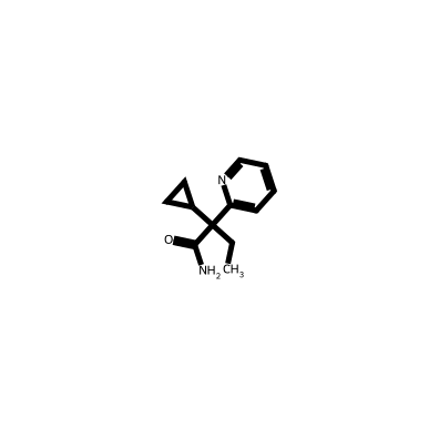 CCC(C(N)=O)(c1ccccn1)C1CC1